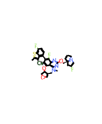 Cc1sc2c(F)ccc(-c3c(Cl)c4c5c(nc(OC[C@@]67CCCN6C[C@H](F)C7)nc5c3F)N(C)CC3COCC3O4)c2c1C#N